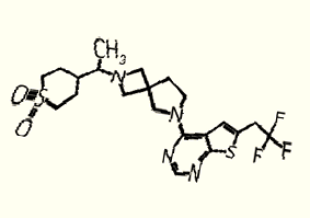 CC(C1CCS(=O)(=O)CC1)N1CC2(CCN(c3ncnc4sc(CC(F)(F)F)cc34)C2)C1